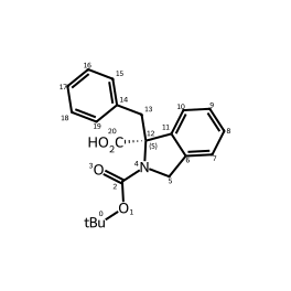 CC(C)(C)OC(=O)N1Cc2ccccc2[C@@]1(Cc1ccccc1)C(=O)O